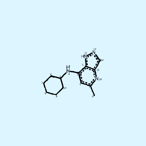 Cc1cc(NC2CCCCC2)c2[nH]ncc2n1